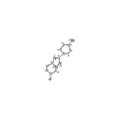 Fc1ccc2nc(-c3ccc(Br)cc3)nn2c1